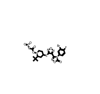 CC(C)(C)C1CC(Sc2nonc2-c2noc(=O)n2-c2ccc(F)c(Br)c2)CCN1OC(=O)N=S(=O)=O